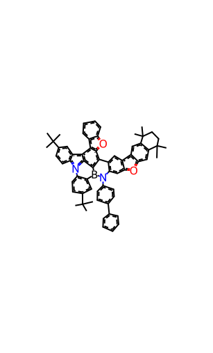 CC(C)(C)c1ccc2c(c1)B1c3c(c4oc5ccccc5c4c4c5cc(C(C)(C)C)ccc5n-2c34)-c2cc3c(cc2N1c1ccc(-c2ccccc2)cc1)oc1cc2c(cc13)C(C)(C)CCC2(C)C